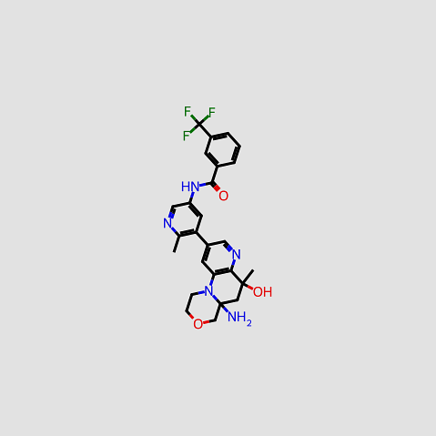 Cc1ncc(NC(=O)c2cccc(C(F)(F)F)c2)cc1-c1cnc2c(c1)N1CCOCC1(N)CC2(C)O